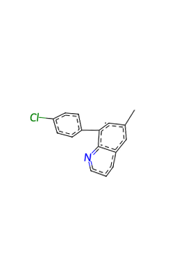 Cc1[c]c(-c2ccc(Cl)cc2)c2ncccc2c1